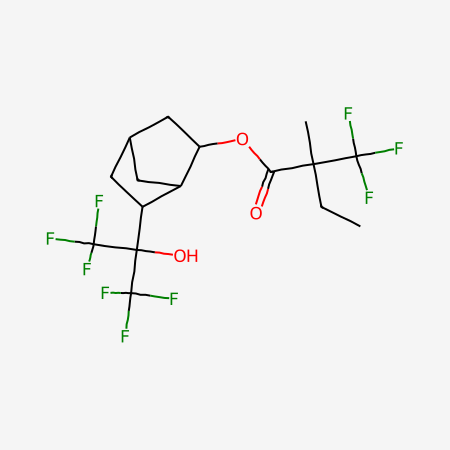 CCC(C)(C(=O)OC1CC2CC1C(C(O)(C(F)(F)F)C(F)(F)F)C2)C(F)(F)F